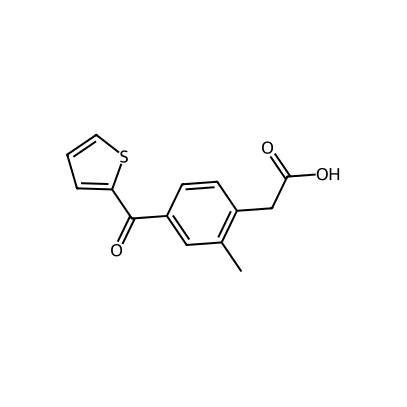 Cc1cc(C(=O)c2cccs2)ccc1CC(=O)O